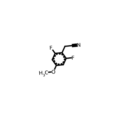 COc1cc(F)c(CC#N)c(F)c1